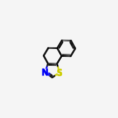 c1ccc2c(c1)CCc1ncsc1-2